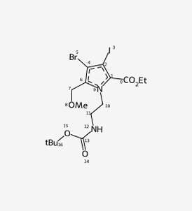 CCOC(=O)c1c(I)c(Br)c(COC)n1CCNC(=O)OC(C)(C)C